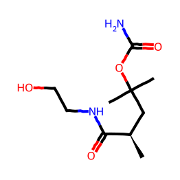 C[C@H](CC(C)(C)OC(N)=O)C(=O)NCCO